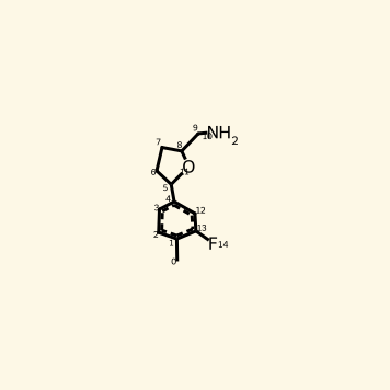 Cc1ccc(C2CCC(CN)O2)cc1F